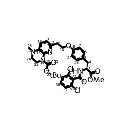 COC(=O)[C@H](Cc1ccc(OCCc2ccc3c(n2)N(C(=O)OC(C)(C)C)CCN3C)cc1)NC(=O)c1c(Cl)cccc1Cl